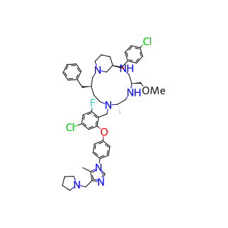 COC[C@@H]1CN[C@@]2(Cc3ccc(Cl)cc3)CCCN(C[C@H](Cc3ccccc3)CCN(Cc3c(F)cc(Cl)cc3Oc3ccc(-n4cnc(CN5CCCC5)c4C)cc3)[C@@H](C)CN1)C2